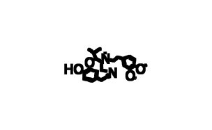 CCC(C(Oc1cc(CC#N)ccc1O)C(C)C)N(C)CCc1ccc(OC)c(OC)c1